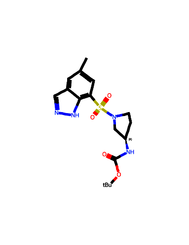 Cc1cc(S(=O)(=O)N2CC[C@@H](NC(=O)OC(C)(C)C)C2)c2[nH]ncc2c1